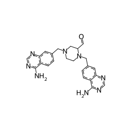 Nc1ncnc2cc(CN3CCN(Cc4ccc5c(N)ncnc5c4)C(C=O)C3)ccc12